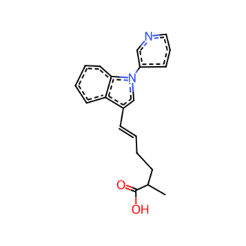 CC(CCC=Cc1cn(-c2cccnc2)c2ccccc12)C(=O)O